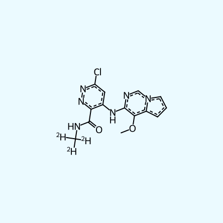 [2H]C([2H])([2H])NC(=O)c1nnc(Cl)cc1Nc1ncn2cccc2c1OC